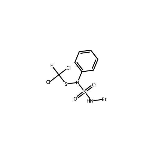 CCNS(=O)(=O)N(SC(F)(Cl)Cl)c1ccccc1